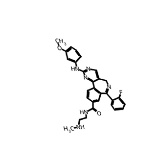 CNCCNC(=O)c1ccc2c(c1)C(c1ccccc1F)=NCc1cnc(Nc3cccc(OC)c3)nc1-2